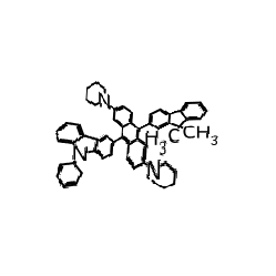 CC1(C)c2ccccc2-c2ccc(-c3c4ccc(N5CCCCC5)cc4c(-c4ccc5c(c4)c4ccccc4n5C4C=CC=CC4)c4ccc(N5CCCCC5)cc34)cc21